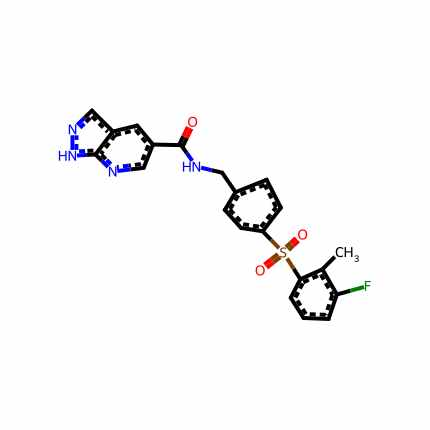 Cc1c(F)cccc1S(=O)(=O)c1ccc(CNC(=O)c2cnc3[nH]ncc3c2)cc1